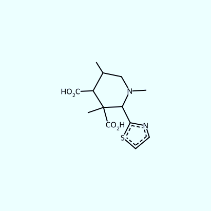 CC1CN(C)C(c2nccs2)C(C)(C(=O)O)C1C(=O)O